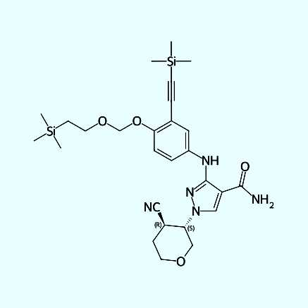 C[Si](C)(C)C#Cc1cc(Nc2nn([C@@H]3COCC[C@H]3C#N)cc2C(N)=O)ccc1OCOCC[Si](C)(C)C